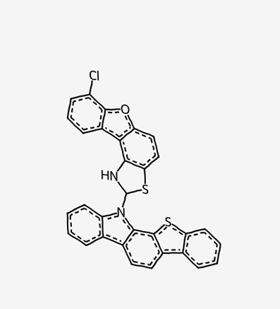 Clc1cccc2c1oc1ccc3c(c12)NC(n1c2ccccc2c2ccc4c5ccccc5sc4c21)S3